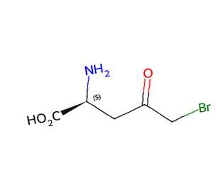 N[C@@H](CC(=O)CBr)C(=O)O